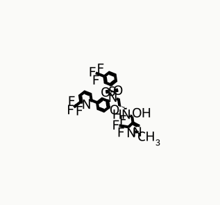 Cn1cc(C(O)NC[C@H]2CN(S(=O)(=O)c3cccc(C(F)(F)F)c3)c3cc(-c4cccc(C(F)(F)F)n4)ccc3O2)c(C(F)(F)F)n1